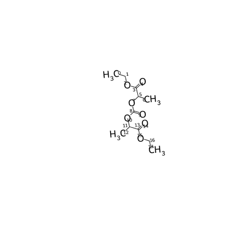 CCOC(=O)C(C)OC(=O)OC(C)C(=O)OCC